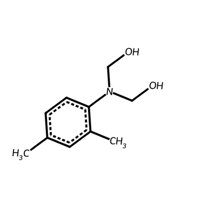 Cc1ccc(N(CO)CO)c(C)c1